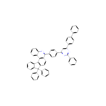 c1ccc(-c2ccc(-c3cc(-c4ccc(-c5nc6ccccc6c6c7c(ccc56)C(c5ccccc5)(c5ccccc5)c5ccccc5-7)cc4)nc(-c4ccccc4)n3)cc2)cc1